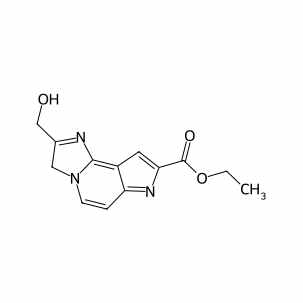 CCOC(=O)c1cc2c3n(ccc-2n1)CC(CO)=N3